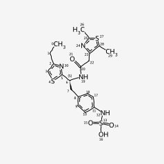 CCc1csc([C@H](Cc2ccc(NS(=O)(=O)O)cc2)NC(=O)Cc2nc(C)sc2C)n1